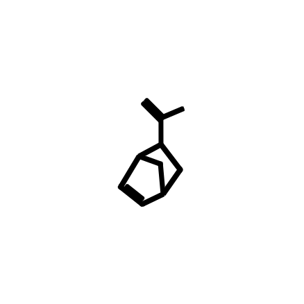 C=C(C)C1CC2C=CC1C2